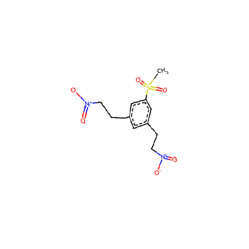 CS(=O)(=O)c1cc(CC[N+](=O)[O-])[c]c(CC[N+](=O)[O-])c1